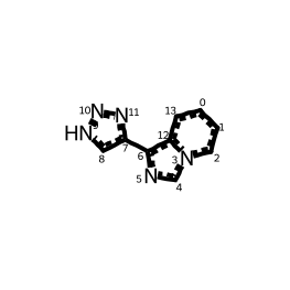 c1ccn2cnc(-c3c[nH]nn3)c2c1